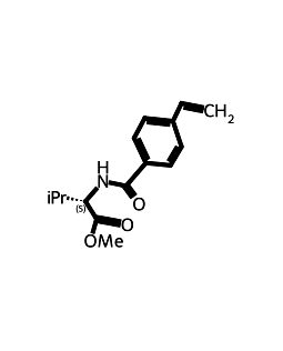 C=Cc1ccc(C(=O)N[C@H](C(=O)OC)C(C)C)cc1